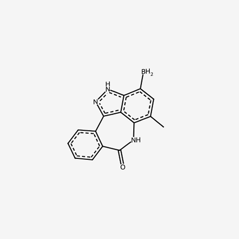 Bc1cc(C)c2c3c(n[nH]c13)-c1ccccc1C(=O)N2